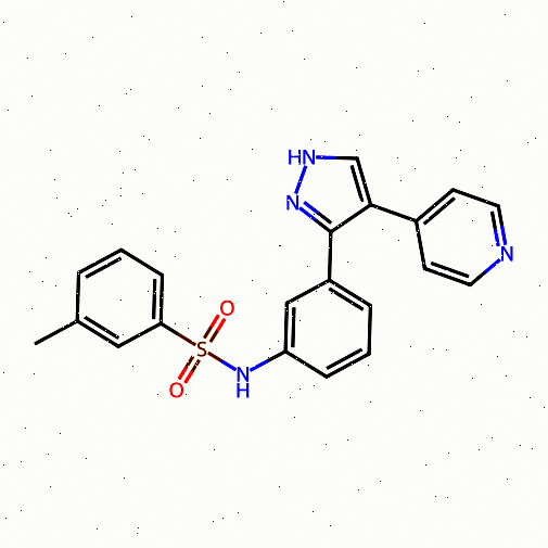 Cc1cccc(S(=O)(=O)Nc2cccc(-c3n[nH]cc3-c3ccncc3)c2)c1